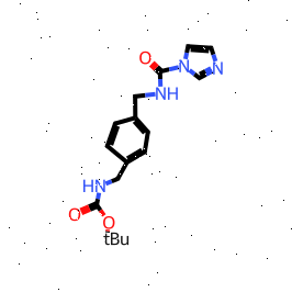 CC(C)(C)OC(=O)NCc1ccc(CNC(=O)n2ccnc2)cc1